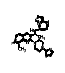 Cc1c(F)ccc2cc(C(C)Nc3ccnc4ccnn34)c(N3CCN(c4nccs4)CC3)nc12